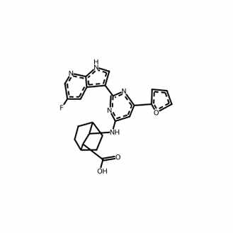 O=C(O)C1C2CCC(CC2)C1Nc1cc(-c2ccco2)nc(-c2c[nH]c3ncc(F)cc23)n1